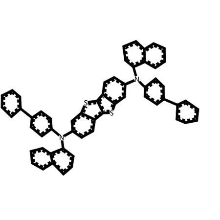 c1ccc(-c2ccc(N(c3ccc4c(c3)sc3c5ccc(N(c6ccc(-c7ccccc7)cc6)c6cccc7ccccc67)cc5sc43)c3cccc4ccccc34)cc2)cc1